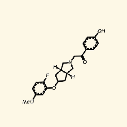 COc1ccc(F)c(OC2C[C@@H]3CN(CC(=O)c4ccc(O)cc4)C[C@@H]3C2)c1